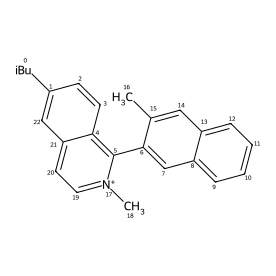 CCC(C)c1ccc2c(-c3cc4ccccc4cc3C)[n+](C)ccc2c1